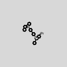 CC(C)c1ccc2c(c1)N(c1ccc(-c3ccc(-n4c5ccccc5c5ccc6ccccc6c54)cc3)cc1)CC(c1ccccc1)C2